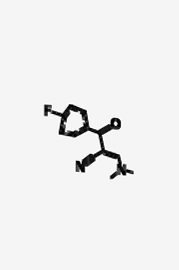 CN(C)C=C(C#N)C(=O)c1ccc(F)cc1